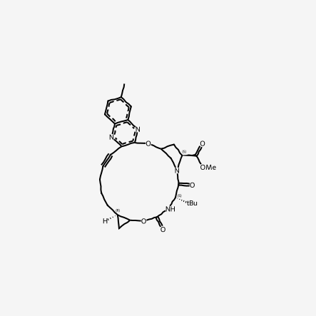 COC(=O)[C@@H]1CC2CN1C(=O)[C@H](C(C)(C)C)NC(=O)OC1C[C@H]1CCCC#Cc1nc3ccc(C)cc3nc1O2